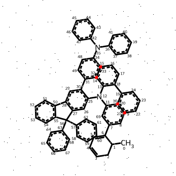 CC1CC=CC=C1c1cccc(N(c2ccccc2-c2ccccc2)c2cc3c(cc2-c2ccc(N(c4ccccc4)c4ccccc4)cc2)-c2ccccc2C3(c2ccccc2)c2ccccc2)c1